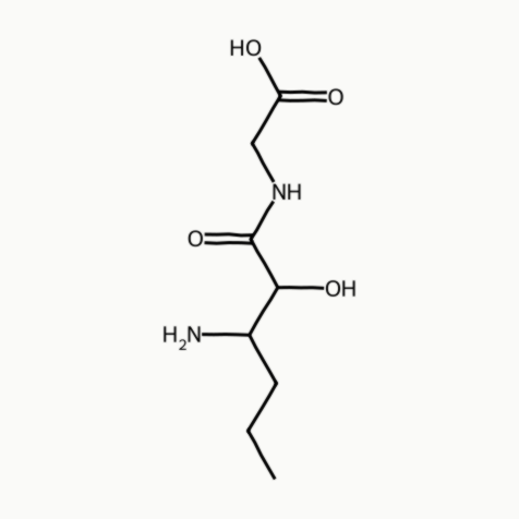 CCCC(N)C(O)C(=O)NCC(=O)O